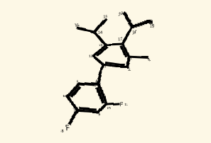 Cc1cc(-c2ccc(F)cc2F)cc(C(C)C)c1C(C)C